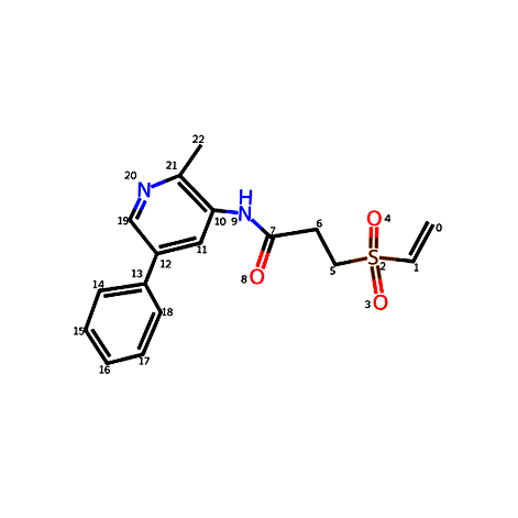 C=CS(=O)(=O)CCC(=O)Nc1cc(-c2ccccc2)cnc1C